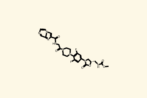 COC(=O)NC[C@H]1CN(c2cc(F)c(N3CCN(C(=O)CNC(=O)c4cn5ccncc5n4)CC3)c(F)c2)C(=O)O1